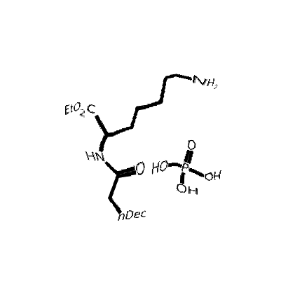 CCCCCCCCCCCC(=O)NC(CCCCN)C(=O)OCC.O=P(O)(O)O